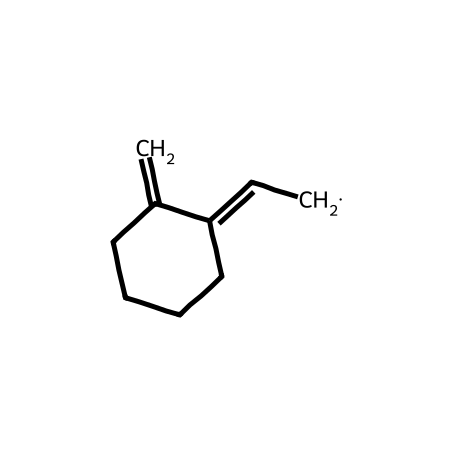 [CH2]C=C1CCCCC1=C